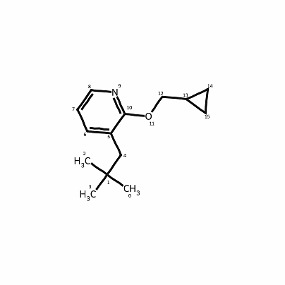 CC(C)(C)Cc1cccnc1OCC1CC1